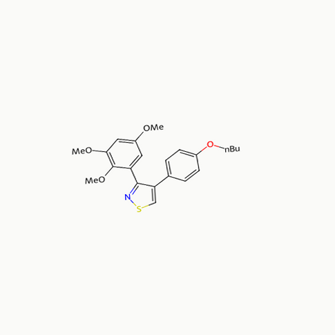 CCCCOc1ccc(-c2csnc2-c2cc(OC)cc(OC)c2OC)cc1